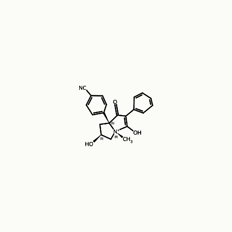 C[N@@+]12C[C@@H](O)C[C@]1(c1ccc(C#N)cc1)C(=O)C(c1ccccc1)=C2O